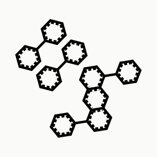 c1ccc(-c2cccc3cc4c(-c5ccccc5)cccc4cc23)cc1.c1ccc(-c2ccccc2)cc1.c1ccc(-c2ccccc2)cc1